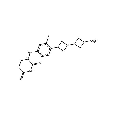 O=C1CC[C@@H](Nc2ccc(C3CN(C4CC(C(=O)O)C4)C3)c(F)c2)C(=O)N1